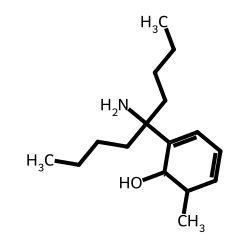 CCCCC(N)(CCCC)C1=CC=CC(C)[C]1O